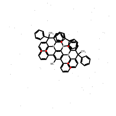 CC1(c2ccccc2)c2ccccc2N(c2c(-c3ccccc3)c(C#N)c(-c3ccccc3)c(N3c4ccccc4C(C)(c4ccccc4)c4ccccc43)c2-n2c3ccccc3c3ccccc32)c2ccccc21